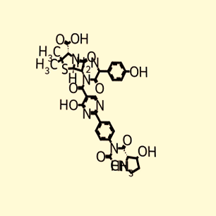 CC(=O)N(C(=O)[C@H]1NCCC1O)c1ccc(-c2ncc(C(=O)N(C(=O)C(N)c3ccc(O)cc3)[C@@H]3C(=O)N4[C@@H]3SC(C)(C)[C@@H]4C(=O)O)c(O)n2)cc1